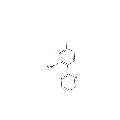 Cc1ccc(-c2ccccn2)c(C=O)n1